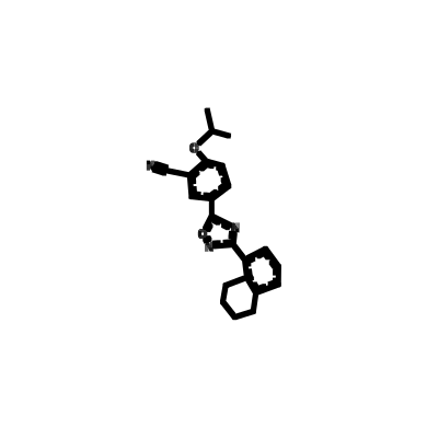 CC(C)Oc1ccc(-c2nc(-c3cccc4c3CCCC4)no2)cc1C#N